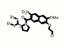 CCSC(SCC)[C@@H]1CCCN1C(=O)c1cc2cc(OCCCl)c(OC)cc2cc1[N+](=O)[O-]